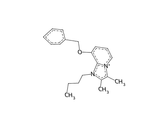 CCCCn1c(C)c(C)[n+]2cccc(OCc3ccccc3)c12